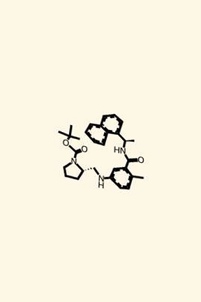 Cc1ccc(NC[C@@H]2CCCN2C(=O)OC(C)(C)C)cc1C(=O)N[C@H](C)c1cccc2ccccc12